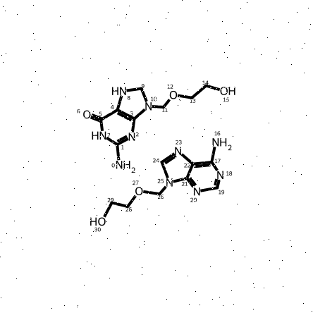 Nc1nc2c(c(=O)[nH]1)NCN2COCCO.Nc1ncnc2c1ncn2COCCO